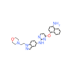 Nc1ccc(Oc2ccnc(Nc3ccc4c(cnn4CCN4CCOCC4)c3)n2)c2ccccc12